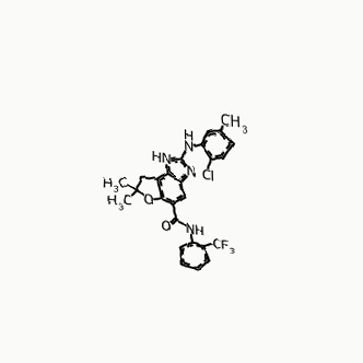 Cc1ccc(Cl)c(Nc2nc3cc(C(=O)Nc4ccccc4C(F)(F)F)c4c(c3[nH]2)CC(C)(C)O4)c1